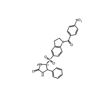 O=C1NC(c2ccccc2)[C@H](S(=O)(=O)c2ccc3c(c2)CCN3C(=O)c2ccc([N+](=O)[O-])cc2)N1